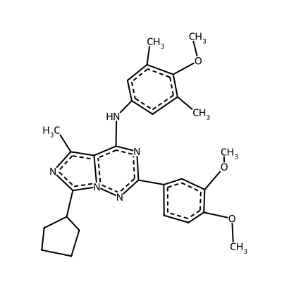 COc1ccc(-c2nc(Nc3cc(C)c(OC)c(C)c3)c3c(C)nc(C4CCCC4)n3n2)cc1OC